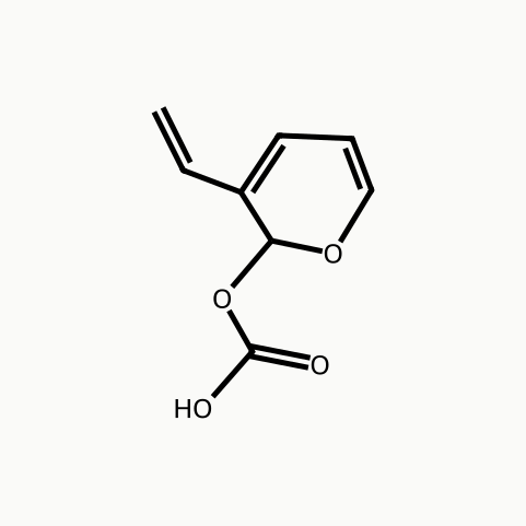 C=CC1=CC=COC1OC(=O)O